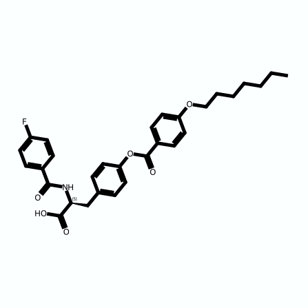 CCCCCCCOc1ccc(C(=O)Oc2ccc(C[C@H](NC(=O)c3ccc(F)cc3)C(=O)O)cc2)cc1